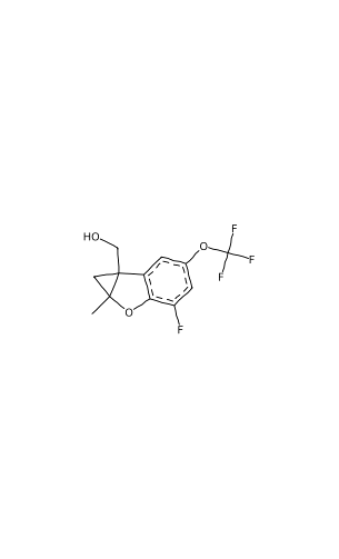 CC12CC1(CO)c1cc(OC(F)(F)F)cc(F)c1O2